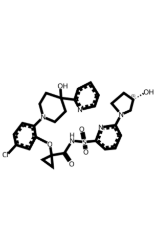 O=C(NS(=O)(=O)c1cccc(N2CC[C@H](O)C2)n1)C1(Oc2cc(Cl)ccc2N2CCC(O)(c3ccccn3)CC2)CC1